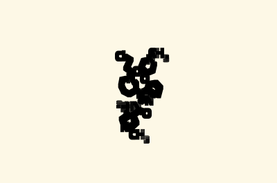 [2H]c1cnc(C)cc1C(=O)Nc1nc2cccc(OC3CCN(C)CC3)c2n1[C@@H]1CCCCN(C(=O)CCCl)C1